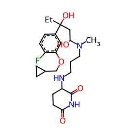 CCC(O)(CC(O)N(C)CCCNC1CCC(=O)NC1=O)c1ccc(F)c(OCC2CC2)c1